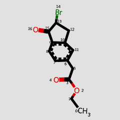 CCOC(=O)Cc1ccc2c(c1)CC(Br)C2=O